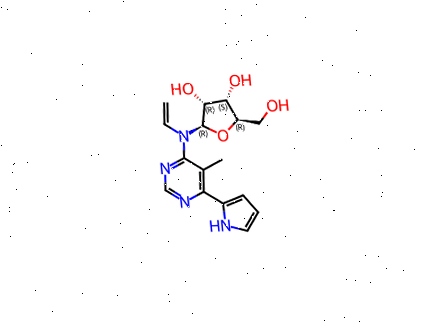 C=CN(c1ncnc(-c2ccc[nH]2)c1C)[C@@H]1O[C@H](CO)[C@@H](O)[C@H]1O